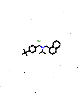 CC(C)N(Cc1ccc(C(C)(C)C)cc1)Cc1cccc2ccccc12.Cl